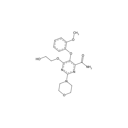 COc1ccccc1Oc1c(OCCO)nc(N2CCOCC2)nc1C(N)=O